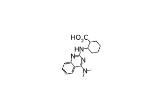 CN(C)c1nc(NC2CCCCC2C(=O)O)nc2ccccc12